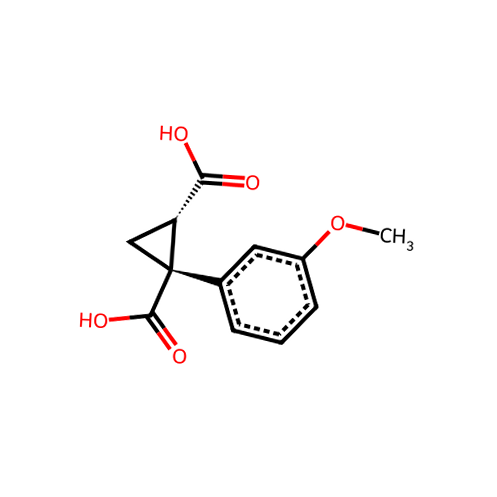 COc1cccc([C@@]2(C(=O)O)C[C@@H]2C(=O)O)c1